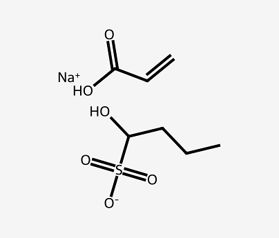 C=CC(=O)O.CCCC(O)S(=O)(=O)[O-].[Na+]